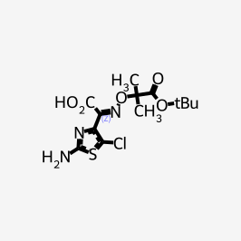 CC(C)(C)OC(=O)C(C)(C)O/N=C(\C(=O)O)c1nc(N)sc1Cl